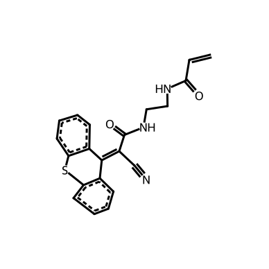 C=CC(=O)NCCNC(=O)C(C#N)=C1c2ccccc2Sc2ccccc21